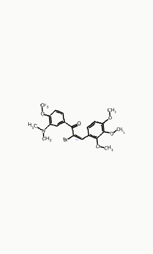 COc1ccc(C(=O)/C(Br)=C\c2ccc(OC)c(OC)c2OC)cc1N(C)C